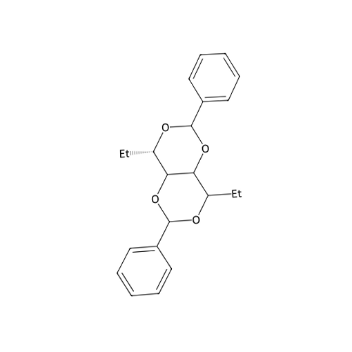 CCC1OC(c2ccccc2)OC2C1OC(c1ccccc1)O[C@H]2CC